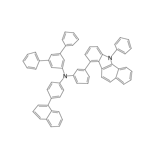 c1ccc(-c2cc(-c3ccccc3)cc(N(c3ccc(-c4cccc5ccccc45)cc3)c3cccc(-c4cccc5c4c4ccc6ccccc6c4n5-c4ccccc4)c3)c2)cc1